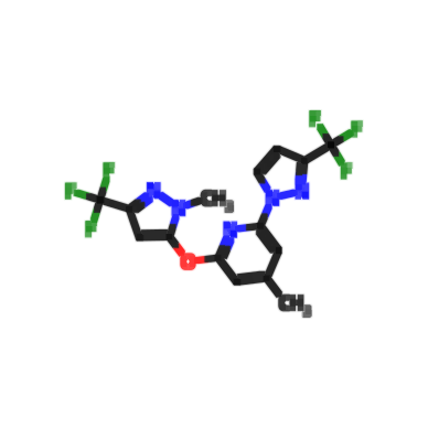 Cc1cc(Oc2cc(C(F)(F)F)nn2C)nc(-n2ccc(C(F)(F)F)n2)c1